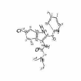 Cc1ccnc(C(=O)c2[nH]c3cc(Cl)ccc3c2NC(=O)CN(C)C)c1